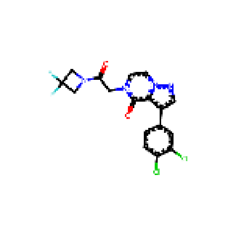 O=C(Cn1ccn2ncc(-c3ccc(Cl)c(Cl)c3)c2c1=O)N1CC(F)(F)C1